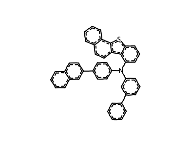 c1ccc(-c2cccc(N(c3ccc(-c4ccc5ccccc5c4)cc3)c3cccc4sc5c6ccccc6ccc5c34)c2)cc1